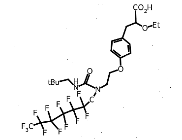 CCOC(Cc1ccc(OCCN(CC(F)(F)C(F)(F)C(F)(F)C(F)(F)C(F)(F)C(F)(F)F)C(=O)NCC(C)(C)C)cc1)C(=O)O